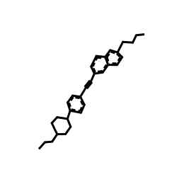 CCCCc1ccc2cc(C#Cc3ccc(C4CCC(CCC)CC4)cc3)ccc2c1